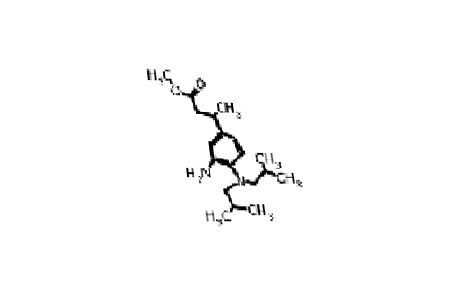 COC(=O)C[C@@H](C)c1ccc(N(CC(C)C)CC(C)C)c(N)c1